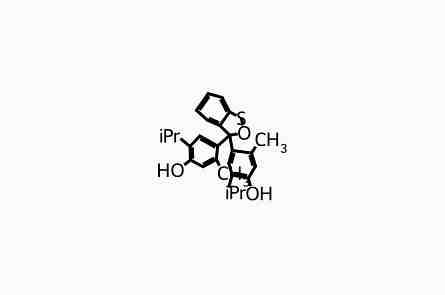 Cc1cc(O)c(C(C)C)cc1C1(c2cc(C(C)C)c(O)cc2C)OSc2ccccc21